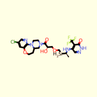 C[C@H](Nc1cn[nH]c(=O)c1C(F)(F)F)[SiH2]COC[C@H](O)C(=O)N1CCN2c3ncc(Cl)cc3OCCC2C1